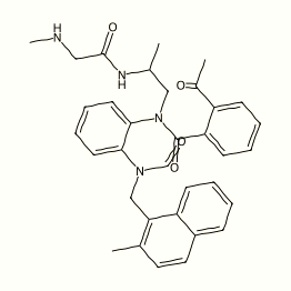 CNCC(=O)NC(C)CN(C(=O)c1ccccc1C(C)=O)c1ccccc1N(C=O)Cc1c(C)ccc2ccccc12